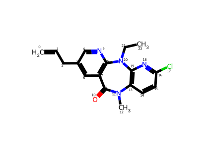 C=CCc1cnc2c(c1)C(=O)N(C)c1ccc(Cl)nc1N2CC